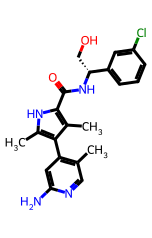 Cc1cnc(N)cc1-c1c(C)[nH]c(C(=O)N[C@H](CO)c2cccc(Cl)c2)c1C